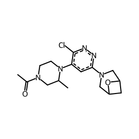 CC(=O)N1CCN(c2cc(N3CC4CC(C3)O4)nnc2Cl)C(C)C1